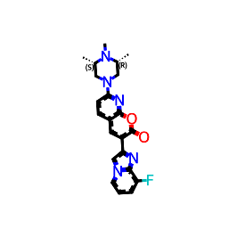 C[C@@H]1CN(c2ccc3cc(-c4cn5cccc(F)c5n4)c(=O)oc3n2)C[C@H](C)N1C